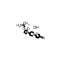 CC(N)COC1CCN(C2CCN(c3ccc(C#N)cn3)CC2)C1=O.Cl